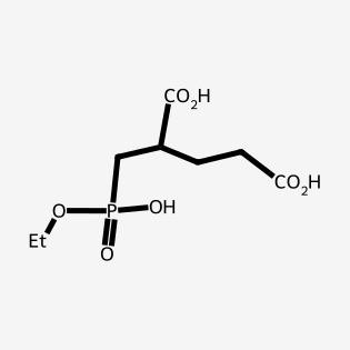 CCOP(=O)(O)CC(CCC(=O)O)C(=O)O